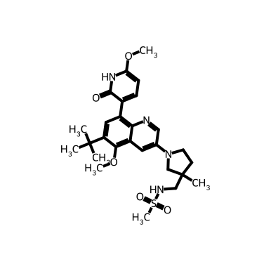 COc1ccc(-c2cc(C(C)(C)C)c(OC)c3cc(N4CCC(C)(CNS(C)(=O)=O)C4)cnc23)c(=O)[nH]1